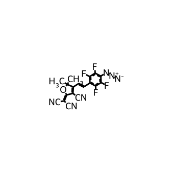 CC1(C)OC(=C(C#N)C#N)C(C#N)=C1/C=C/c1c(F)c(F)c(N=[N+]=[N-])c(F)c1F